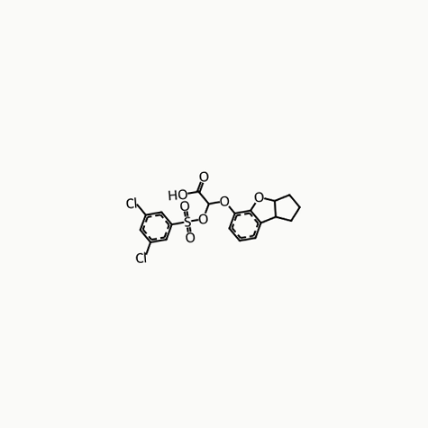 O=C(O)C(Oc1cccc2c1OC1CCCC21)OS(=O)(=O)c1cc(Cl)cc(Cl)c1